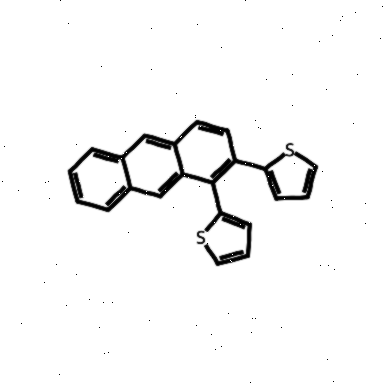 c1csc(-c2ccc3cc4ccccc4cc3c2-c2cccs2)c1